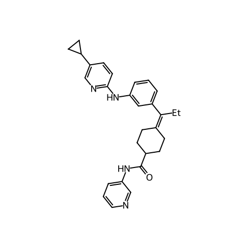 CCC(=C1CCC(C(=O)Nc2cccnc2)CC1)c1cccc(Nc2ccc(C3CC3)cn2)c1